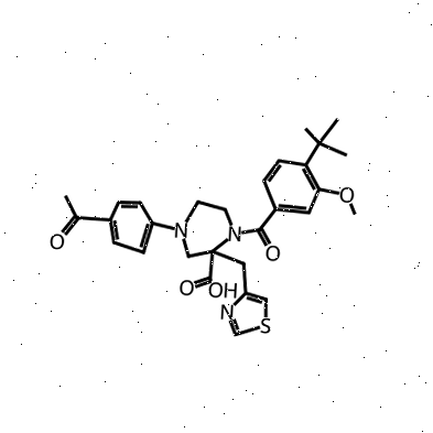 COc1cc(C(=O)N2CCN(c3ccc(C(C)=O)cc3)CC2(Cc2cscn2)C(=O)O)ccc1C(C)(C)C